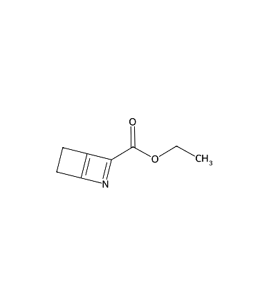 CCOC(=O)C1=NC2=C1CC2